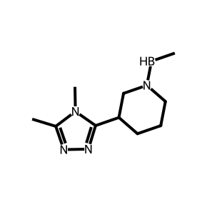 CBN1CCCC(c2nnc(C)n2C)C1